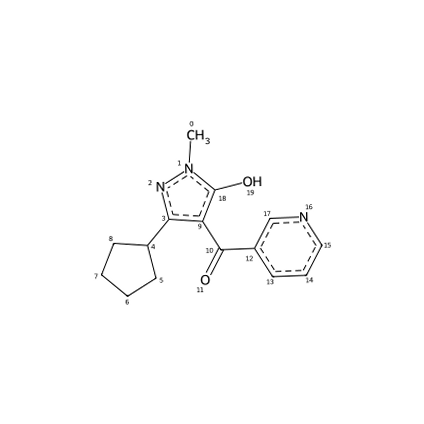 Cn1nc(C2CCCC2)c(C(=O)c2cccnc2)c1O